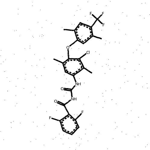 Cc1cc(C(F)(F)F)c(C)cc1Oc1c(C)cc(NC(=O)NC(=O)c2c(F)cccc2F)c(C)c1Cl